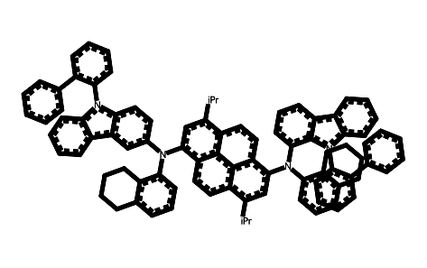 CC(C)c1cc(N(c2ccc3c(c2)c2ccccc2n3-c2ccccc2-c2ccccc2)c2cccc3c2CCCC3)c2ccc3c(C(C)C)cc(N(c4cccc5c4CCCC5)c4cccc5c6ccccc6n(-c6ccccc6-c6ccccc6)c45)c4ccc1c2c34